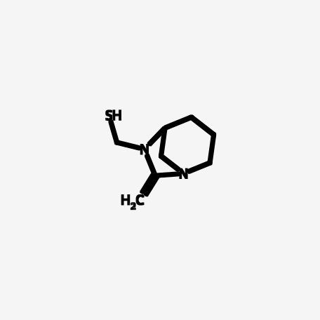 C=C1N2CCCC(C2)N1CS